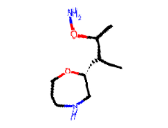 CC(ON)C(C)[C@@H]1CNCCO1